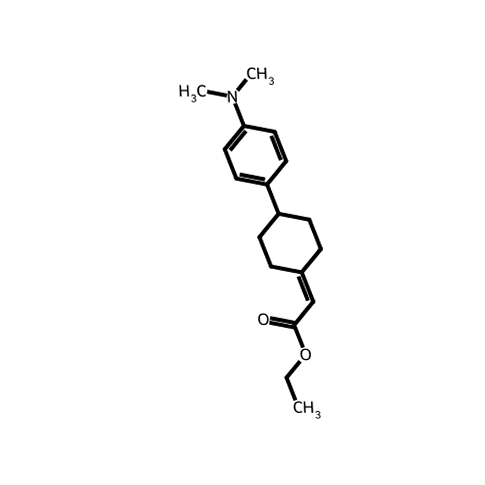 CCOC(=O)C=C1CCC(c2ccc(N(C)C)cc2)CC1